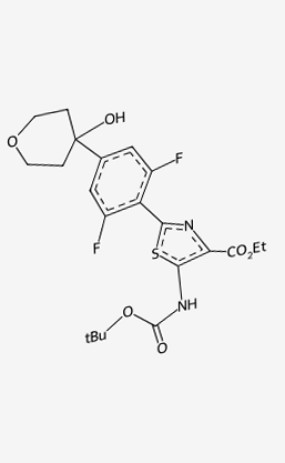 CCOC(=O)c1nc(-c2c(F)cc(C3(O)CCOCC3)cc2F)sc1NC(=O)OC(C)(C)C